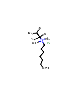 CCCCCCCCCCCCCCCC[N+](CCCC)(CCCC)C(CCCC)(CCCC)C(CC)CCCC.[Br-]